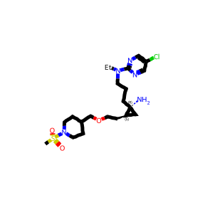 CCN(CCC[C@@]1(N)C[C@H]1CCOCC1CCN(S(C)(=O)=O)CC1)c1ncc(Cl)cn1